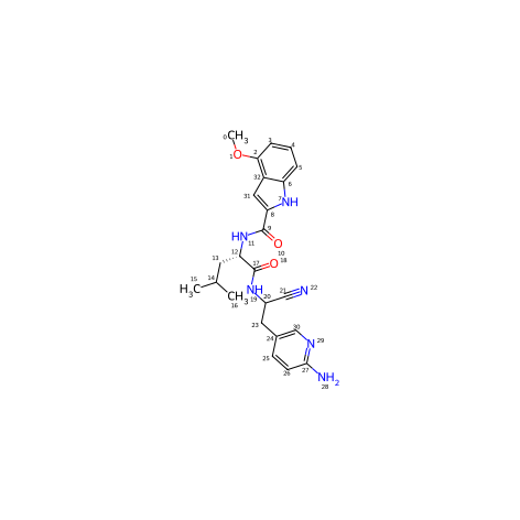 COc1cccc2[nH]c(C(=O)N[C@@H](CC(C)C)C(=O)NC(C#N)Cc3ccc(N)nc3)cc12